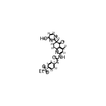 CCS(=O)(=O)c1ccc(CC(=O)Nc2cc(C)c3c(n2)CCC(C)(c2nccc(O)n2)C3=O)cc1